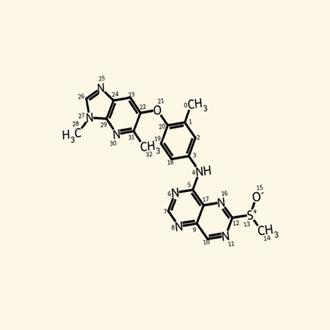 Cc1cc(Nc2ncnc3cnc([S+](C)[O-])nc23)ccc1Oc1cc2ncn(C)c2nc1C